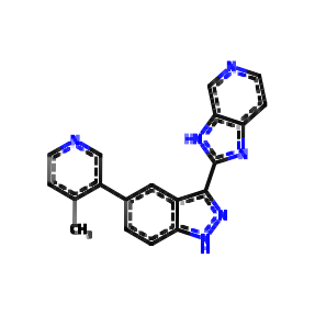 Cc1ccncc1-c1ccc2[nH]nc(-c3nc4ccncc4[nH]3)c2c1